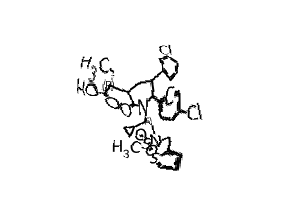 CC[C@@H](C(=O)O)C1CC(c2cccc(Cl)c2)C(c2ccc(Cl)cc2)N([C@H](CN(Cc2cccs2)S(C)(=O)=O)C2CC2)C1=O